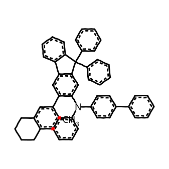 Cc1cc2c(cc1-c1cc3c(cc1N(c1ccccc1)c1ccc(-c4ccccc4)cc1)C(c1ccccc1)(c1ccccc1)c1ccccc1-3)CCCC2